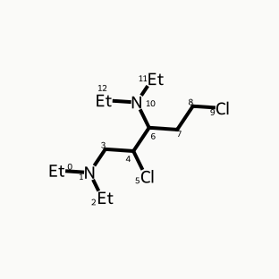 CCN(CC)CC(Cl)C(CCCl)N(CC)CC